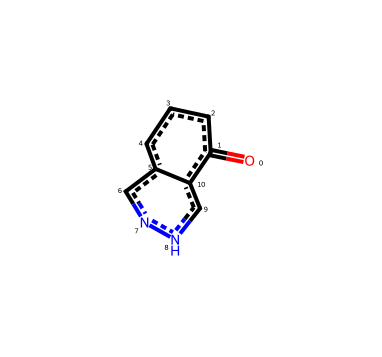 O=c1cccc2cn[nH]cc1-2